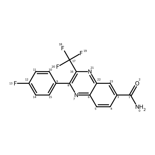 NC(=O)c1ccc2nc(-c3ccc(F)cc3)c(C(F)(F)F)nc2c1